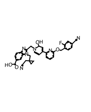 N#CCC1(Cn2c(CN3C=CC(c4cccc(OCc5ccc(C#N)cc5F)n4)=CC3O)nc3ccc(C(=O)O)cc32)CC1